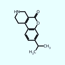 CC(C)c1ccc2c3c(c(=O)oc2c1)CNCC3